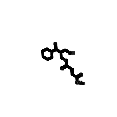 COC(=O)/C=C/C(=O)OCC(CO)C(=O)N1CCCCC1